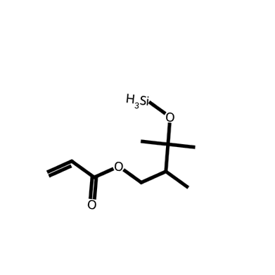 C=CC(=O)OCC(C)C(C)(C)O[SiH3]